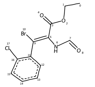 CCOC(=O)C(NC=O)=C(Br)c1ccccc1Cl